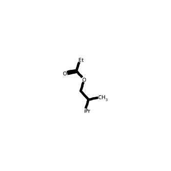 [CH2]CC(=O)OCC(C)C(C)C